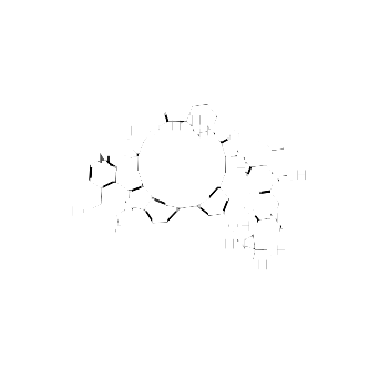 CCc1ccncc1-c1c2c3cc(ccc3n1CC)-c1cc(O)cc(c1)C[C@H](NC(=O)[C@H](C(C)C)N(C)C(=O)CN(C)C(=O)[C@@H]1NC1(C)C)C(=O)N1CCC[C@H](N1)C(=O)OCC(C)(C)C2